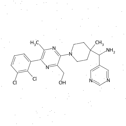 Cc1nc(N2CCC(C)(C(N)c3cncnc3)CC2)c(CO)nc1-c1cccc(Cl)c1Cl